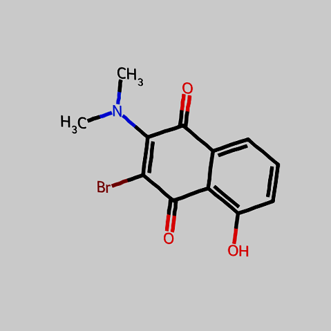 CN(C)C1=C(Br)C(=O)c2c(O)cccc2C1=O